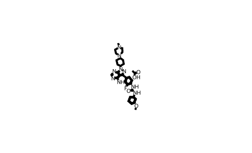 CC(=O)O.COc1cccc(NC(=O)Nc2ccc(-c3nn(C4CCC(N5CCN(C)CC5)CC4)c4ncnc(N)c34)cc2F)c1